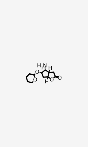 N[C@H]1[C@@H]2CC(=O)O[C@@H]2C[C@@H]1OC1CCCCO1